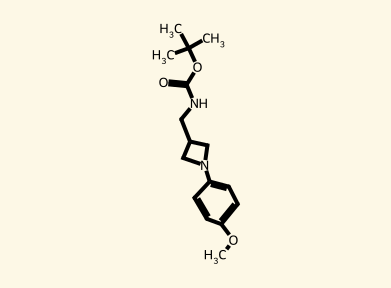 COc1ccc(N2CC(CNC(=O)OC(C)(C)C)C2)cc1